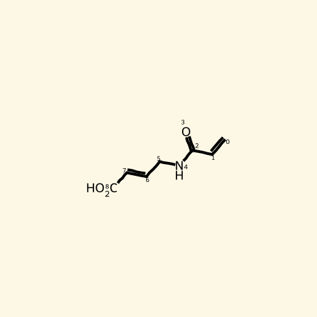 C=CC(=O)NCC=CC(=O)O